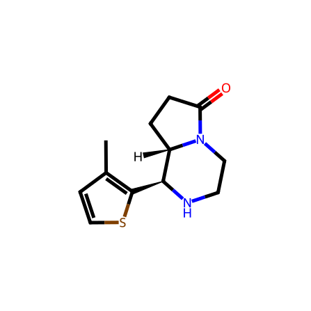 Cc1ccsc1[C@@H]1NCCN2C(=O)CC[C@@H]12